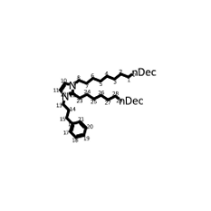 CCCCCCCCCCCCCCCCCCn1cc[n+](CCCc2ccccc2)c1CCCCCCCCCCCCCCCC